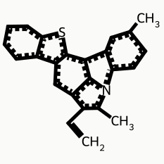 C=Cc1c(C)n2c3ccc(C)cc3c3c4sc5ccccc5c4cc1c32